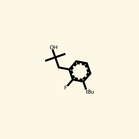 CC(C)(O)Cc1cccc(C(C)(C)C)c1F